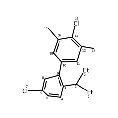 CCC(CC)c1ccc(Cl)cc1-c1cc(C)c(Cl)c(C)c1